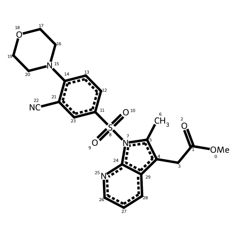 COC(=O)Cc1c(C)n(S(=O)(=O)c2ccc(N3CCOCC3)c(C#N)c2)c2ncccc12